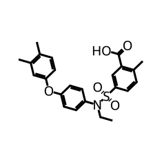 CCN(c1ccc(Oc2ccc(C)c(C)c2)cc1)S(=O)(=O)c1ccc(C)c(C(=O)O)c1